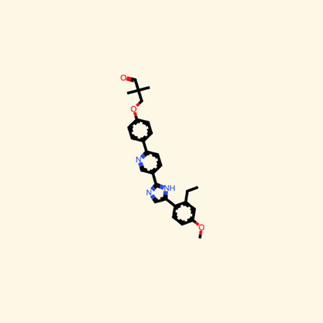 CCc1cc(OC)ccc1-c1cnc(-c2ccc(-c3ccc(OCC(C)(C)C=O)cc3)nc2)[nH]1